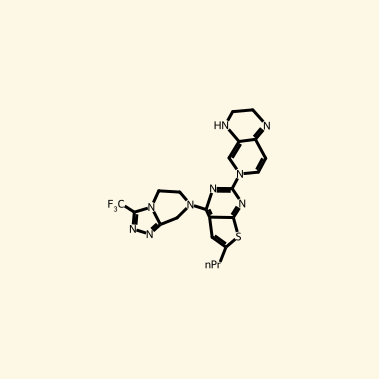 CCCc1cc2c(N3CCn4c(nnc4C(F)(F)F)C3)nc(N3C=CC4=NCCNC4=C3)nc2s1